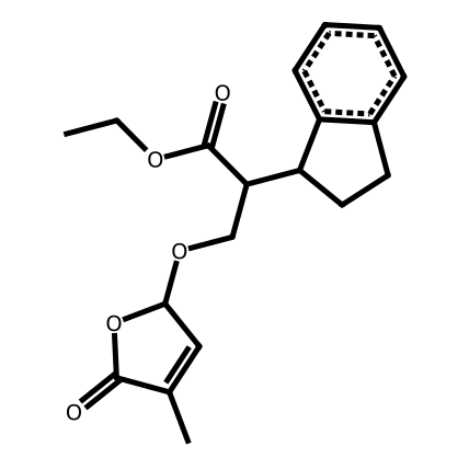 CCOC(=O)C(COC1C=C(C)C(=O)O1)C1CCc2ccccc21